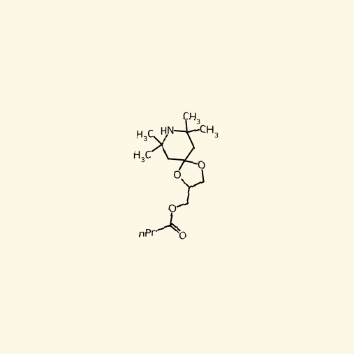 CCCC(=O)OCC1COC2(CC(C)(C)NC(C)(C)C2)O1